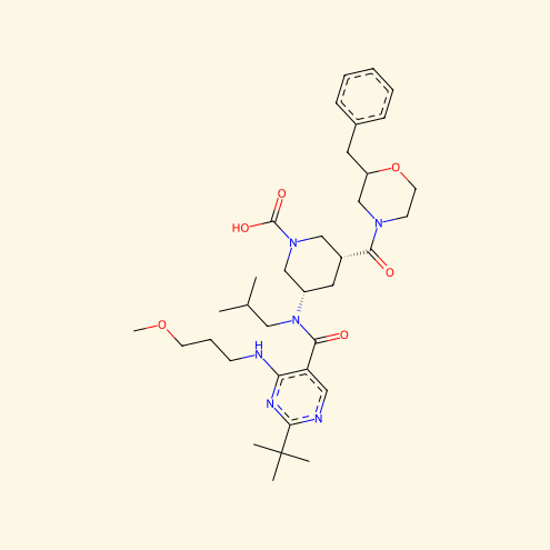 COCCCNc1nc(C(C)(C)C)ncc1C(=O)N(CC(C)C)[C@H]1C[C@@H](C(=O)N2CCOC(Cc3ccccc3)C2)CN(C(=O)O)C1